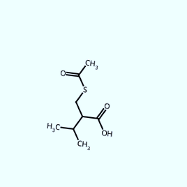 CC(=O)SCC(C(=O)O)C(C)C